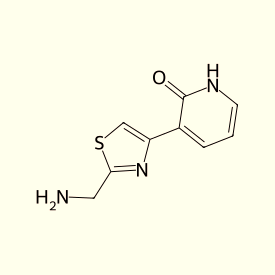 NCc1nc(-c2ccc[nH]c2=O)cs1